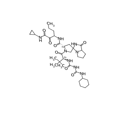 CCCC(NC(=O)[C@@H]1CC2(CN1C(=O)[C@@H](NC(=O)NC(=O)NC1CCCCC1)C(C)(C)C)NC(=O)C1CCCN12)C(=O)C(=O)NC1CC1